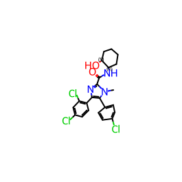 Cn1c(C(=O)N[C@@H]2CCCC[C@@H]2O)nc(-c2ccc(Cl)cc2Cl)c1-c1ccc(Cl)cc1